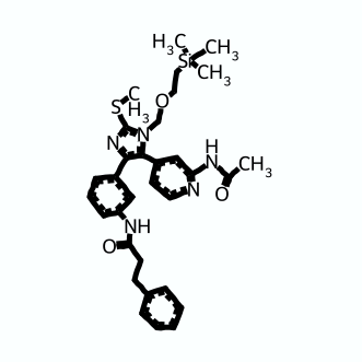 CSc1nc(-c2cccc(NC(=O)CCc3ccccc3)c2)c(-c2ccnc(NC(C)=O)c2)n1COCC[Si](C)(C)C